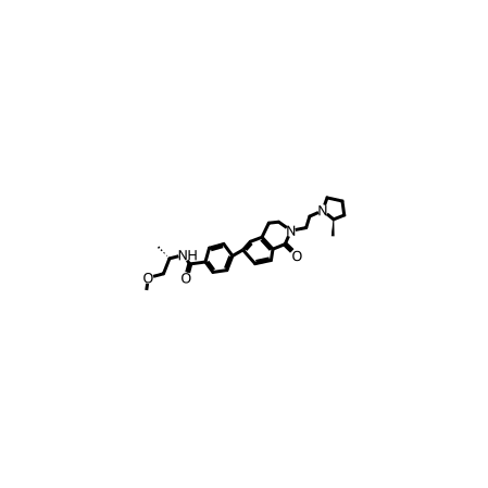 COC[C@H](C)NC(=O)c1ccc(-c2ccc3c(c2)CCN(CCN2CCC[C@H]2C)C3=O)cc1